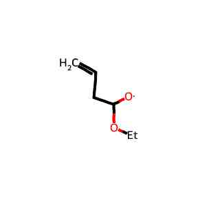 C=CCC([O])OCC